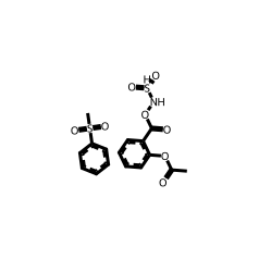 CC(=O)Oc1ccccc1C(=O)ON[SH](=O)=O.CS(=O)(=O)c1ccccc1